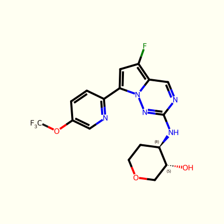 O[C@@H]1COCC[C@H]1Nc1ncc2c(F)cc(-c3ccc(OC(F)(F)F)cn3)n2n1